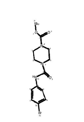 CC(C)(C)OC(=O)N1CCN(C(=O)Nc2ccc(Br)cc2)CC1